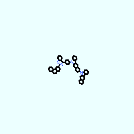 c1ccc2cc3c(cc2c1)c1ccccc1n3-c1ccc2cc3c(cc2c1)c1ccccc1n3-c1ccc(-c2nc(-c3ccc4ccc5ccccc5c4c3)nc3ccccc23)cc1